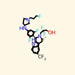 C[C@@H]1Cc2c([nH]c3ccc(C(F)(F)F)cc23)[C@@H](c2c(F)cc(NC3CCN(CCCF)C3)cc2F)N1CC(F)(F)CO